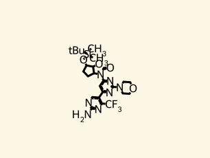 CC(C)(C)[Si](C)(C)OC1CCC2C1OC(=O)N2c1cc(-c2cnc(N)nc2C(F)(F)F)nc(N2CCOCC2)n1